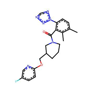 Cc1ccc(-n2ncnn2)c(C(=O)N2CCCC(COc3ccc(F)cn3)C2)c1C